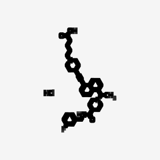 CC(c1cccc2c(C#CC3CCN(CCCCC(=O)O)CC3)cccc12)N1CCC(C(=O)NCc2cccc(F)c2)CC1.Cl